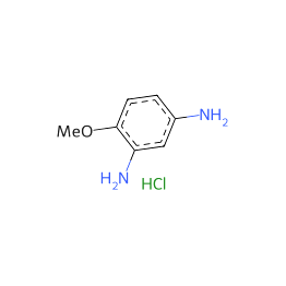 COc1ccc(N)cc1N.Cl